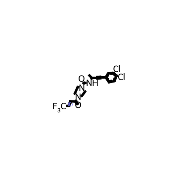 CC(C#Cc1ccc(Cl)c(Cl)c1)NC(=O)N1CCN(C(=O)/C=C/C(F)(F)F)CC1